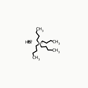 Br.CCCC[N+](CCCC)(CCCC)CCCC.[H+]